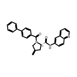 C=C1C[C@@H](C(=O)Nc2ccc3ncccc3c2)N(C(=O)c2ccc(-c3ccccc3)cc2)C1